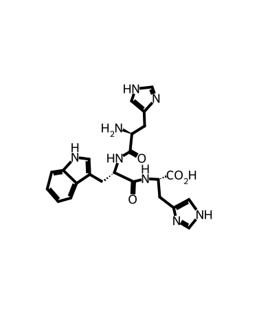 N[C@@H](Cc1c[nH]cn1)C(=O)N[C@@H](Cc1c[nH]c2ccccc12)C(=O)N[C@@H](Cc1c[nH]cn1)C(=O)O